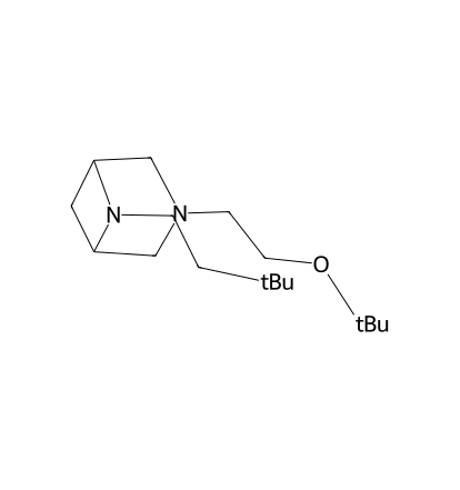 CC(C)(C)CCN1C2CC1CN(CCOC(C)(C)C)C2